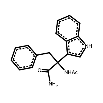 CC(=O)NC(Cc1ccccc1)(C(N)=O)c1c[nH]c2ccccc12